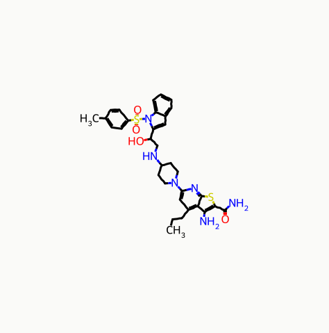 CCCc1cc(N2CCC(NCC(O)c3cc4ccccc4n3S(=O)(=O)c3ccc(C)cc3)CC2)nc2sc(C(N)=O)c(N)c12